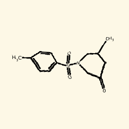 Cc1ccc(S(=O)(=O)N2CC(=O)CC(C)C2)cc1